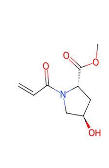 C=CC(=O)N1C[C@H](O)C[C@H]1C(=O)OC